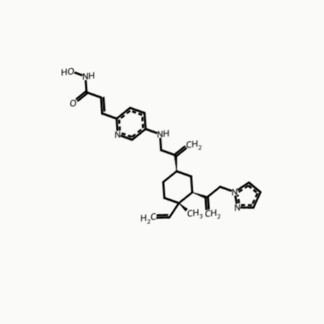 C=C[C@]1(C)CC[C@@H](C(=C)CNc2ccc(/C=C/C(=O)NO)nc2)C[C@H]1C(=C)Cn1cccn1